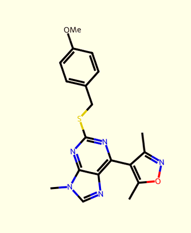 COc1ccc(CSc2nc(-c3c(C)noc3C)c3ncn(C)c3n2)cc1